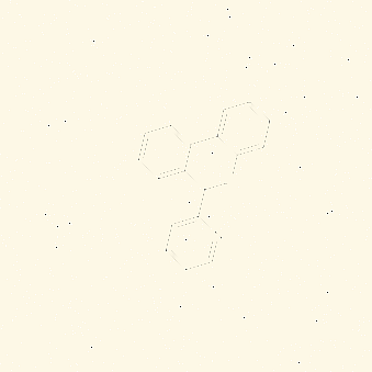 Cl.c1ccc(C2Oc3ccccc3-c3ccccc32)nc1